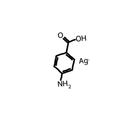 Nc1ccc(C(=O)O)cc1.[Ag]